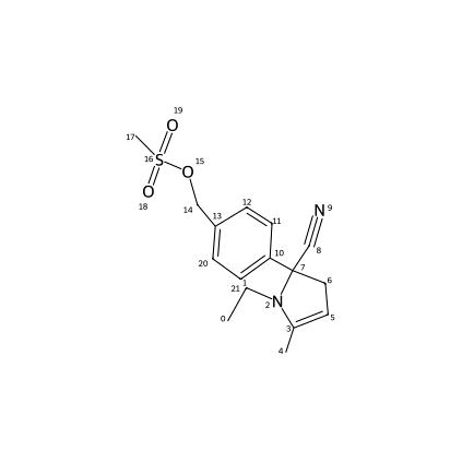 CCN1C(C)=CCC1(C#N)c1ccc(COS(C)(=O)=O)cc1